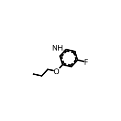 CCCOc1cccc(F)c1.N